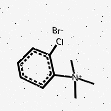 C[N+](C)(C)c1ccccc1Cl.[Br-]